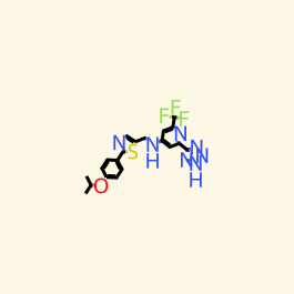 CC(C)Oc1ccc(-c2ncc(CNc3cc(-c4nn[nH]n4)nc(C(F)(F)F)c3)s2)cc1